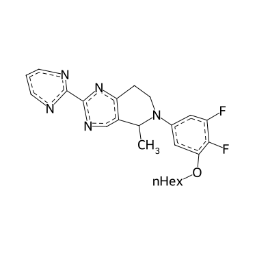 CCCCCCOc1cc(N2CCc3nc(-c4ncccn4)ncc3C2C)cc(F)c1F